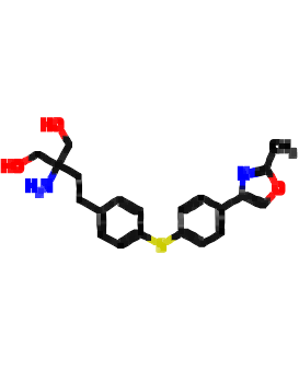 Cc1nc(-c2ccc(Sc3ccc(CCC(N)(CO)CO)cc3)cc2)co1